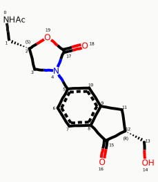 CC(=O)NC[C@H]1CN(c2ccc3c(c2)C[C@H](CO)C3=O)C(=O)O1